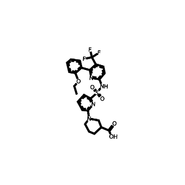 CCOc1ccccc1-c1nc(NS(=O)(=O)c2cccc(N3CCCC(C(=O)O)C3)n2)ccc1C(F)(F)F